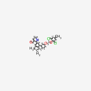 [CH2]C(Cc1ccc(OCCOc2c(Cl)cc(C)cc2Cl)cc1)c1ccc(-c2ncccc2C=O)cc1C